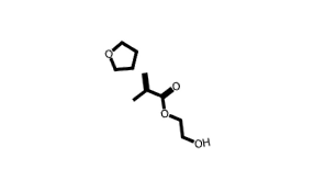 C1CCOC1.C=C(C)C(=O)OCCO